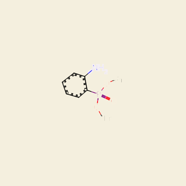 CC(C)OP(=O)(OC(C)C)c1ccccc1N